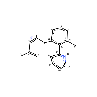 C=C(C)/C=C\Cc1cccc(C)c1-c1ccccn1